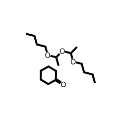 CCCCOC(C)OC(C)OCCCC.O=C1CCCCC1